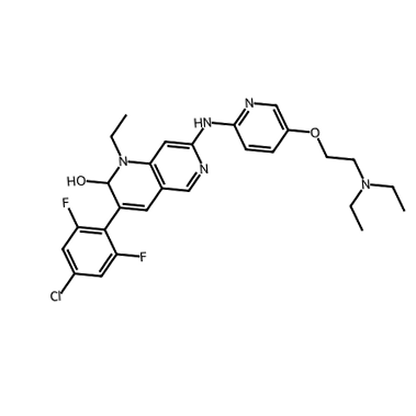 CCN(CC)CCOc1ccc(Nc2cc3c(cn2)C=C(c2c(F)cc(Cl)cc2F)C(O)N3CC)nc1